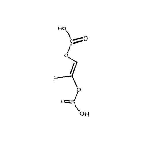 O=S(O)O/C=C(\F)OS(=O)O